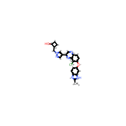 Cc1nc2ccc(Oc3ccc4ncc(-c5cnn(CC6CCC6O)c5)nc4c3Cl)cc2[nH]1